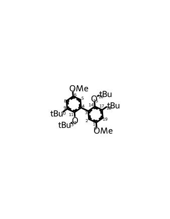 COc1cc(-c2cc(OC)cc(C(C)(C)C)c2OC(C)(C)C)c(OC(C)(C)C)c(C(C)(C)C)c1